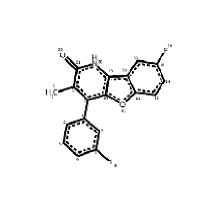 Cc1c(-c2cccc(I)c2)c2oc3ccc(F)cc3c2[nH]c1=O